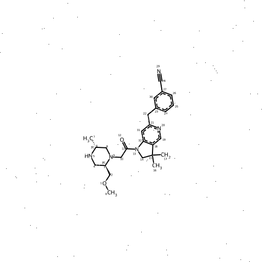 COC[C@H]1CN[C@H](C)CN1CC(=O)N1CC(C)(C)c2cnc(Cc3cccc(C#N)c3)cc21